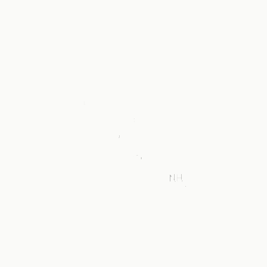 NCCOc1ccccc1OCc1c(Cl)cccc1Cl